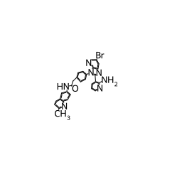 Cc1ccc2cc(NC(=O)Cc3ccc(-n4c(-c5cccnc5N)nc5cc(Br)cnc54)cc3)ccc2n1